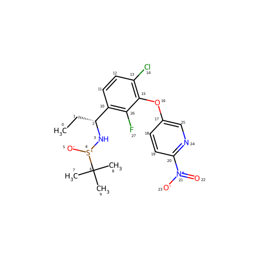 CC[C@@H](N[S+]([O-])C(C)(C)C)c1ccc(Cl)c(Oc2ccc([N+](=O)[O-])nc2)c1F